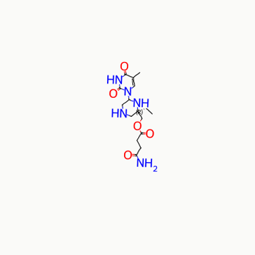 CC[C@]1(COC(=O)CCC(N)=O)CNCC(n2cc(C)c(=O)[nH]c2=O)N1